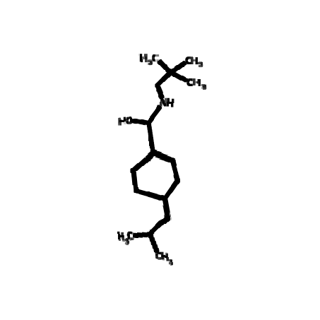 CC(C)CC1CCC(C(O)NCC(C)(C)C)CC1